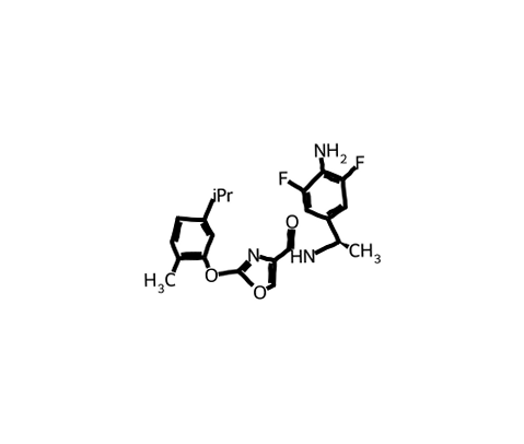 Cc1ccc(C(C)C)cc1Oc1nc(C(=O)N[C@H](C)c2cc(F)c(N)c(F)c2)co1